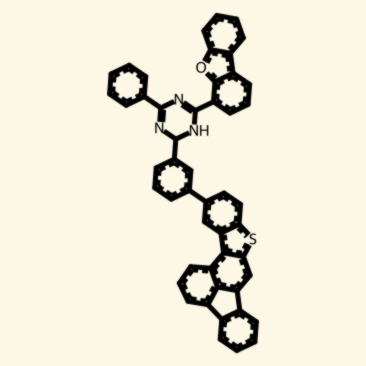 c1ccc(C2=NC(c3cccc(-c4ccc5sc6cc7c8c(cccc8c6c5c4)-c4ccccc4-7)c3)NC(c3cccc4c3oc3ccccc34)=N2)cc1